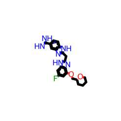 N=C(N)c1ccc2[nH]c(Cc3nc4c(OCC5CCCCO5)cc(F)cc4[nH]3)nc2c1